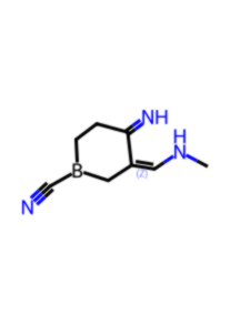 CN/C=C1/CB(C#N)CCC1=N